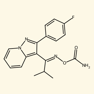 CC(C)C(=NOC(N)=O)c1c(-c2ccc(F)cc2)nn2ccccc12